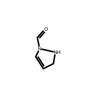 O=CN1C=CCN1